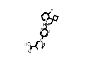 C=NN(/C=C(\C)C(=O)O)c1cnc(NCC2(c3ncccc3F)CCC2)nc1